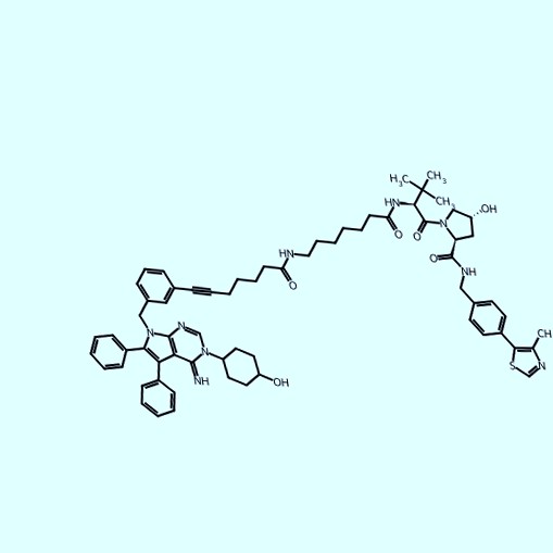 Cc1ncsc1-c1ccc(CNC(=O)[C@@H]2C[C@@H](O)CN2C(=O)[C@@H](NC(=O)CCCCCCNC(=O)CCCCC#Cc2cccc(Cn3c(-c4ccccc4)c(-c4ccccc4)c4c(=N)n(C5CCC(O)CC5)cnc43)c2)C(C)(C)C)cc1